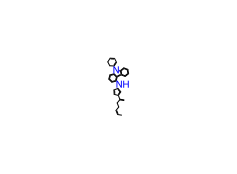 C=C(CC/C=C\C)C1=C=C(Nc2cccc3c2c2ccccc2n3C2=CC=CCC2)C=C1